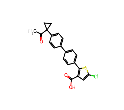 CC(=O)C1(c2ccc(-c3ccc(-c4sc(Cl)cc4C(=O)O)cc3)cc2)CC1